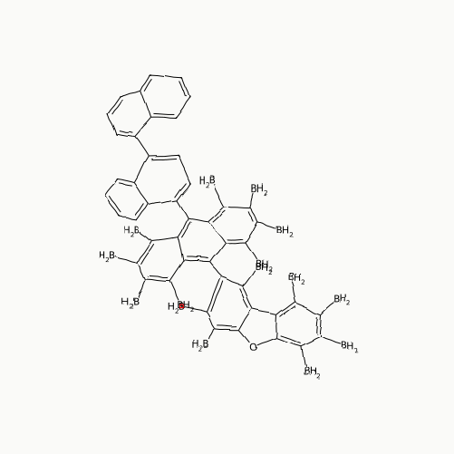 Bc1c(B)c(B)c2c(oc3c(B)c(B)c(-c4c5c(B)c(B)c(B)c(B)c5c(-c5ccc(-c6cccc7ccccc67)c6ccccc56)c5c(B)c(B)c(B)c(B)c45)c(B)c32)c1B